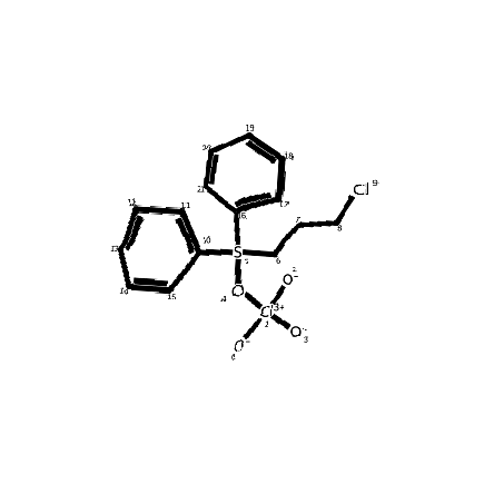 [O-][Cl+3]([O-])([O-])OS(CCCCl)(c1ccccc1)c1ccccc1